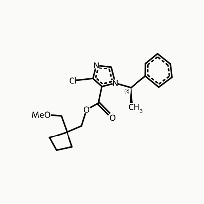 COCC1(COC(=O)c2c(Cl)ncn2[C@H](C)c2ccccc2)CCC1